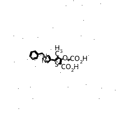 Cc1c(-c2cnn(Cc3ccccc3)c2)sc(C(=O)O)c1OCC(=O)O